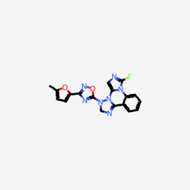 Cc1ccc(-c2noc(N3CN=C4c5ccccc5-n5c(cnc5F)N43)n2)o1